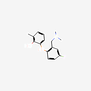 Cc1cccc(Pc2ccc(F)cc2CN(C)C)c1O